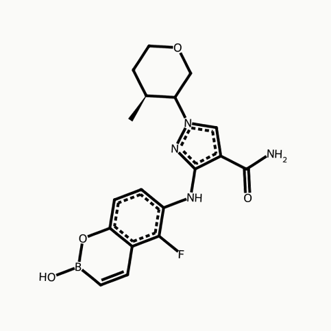 C[C@H]1CCOCC1n1cc(C(N)=O)c(Nc2ccc3c(c2F)C=CB(O)O3)n1